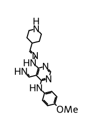 COc1ccc(Nc2ncnc(N/N=C/C3CCNCC3)c2C=N)cc1